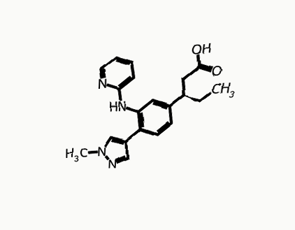 CC[C@H](CC(=O)O)c1ccc(-c2cnn(C)c2)c(Nc2ccccn2)c1